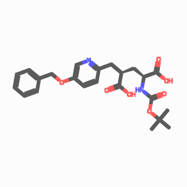 CC(C)(C)OC(=O)N[C@@H](C[C@H](Cc1ccc(OCc2ccccc2)cn1)C(=O)O)C(=O)O